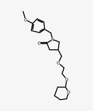 COc1ccc(CN2CC(COCCOC3CCCCO3)CC2=O)cc1